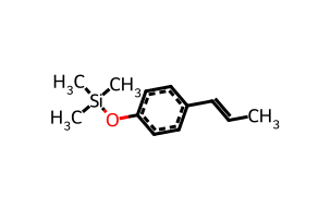 CC=Cc1ccc(O[Si](C)(C)C)cc1